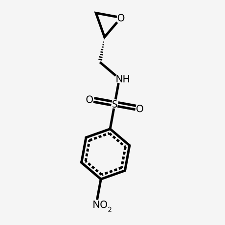 O=[N+]([O-])c1ccc(S(=O)(=O)NC[C@@H]2CO2)cc1